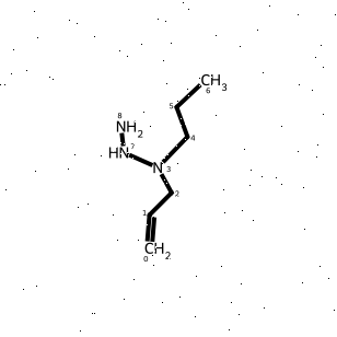 C=CCN(CCC)NN